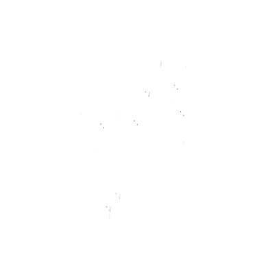 Cc1nc2c(Nc3ccc(-c4cc[nH]n4)cc3N(C)S(C)(=O)=O)cc(Cl)nc2n1C1CCCCO1